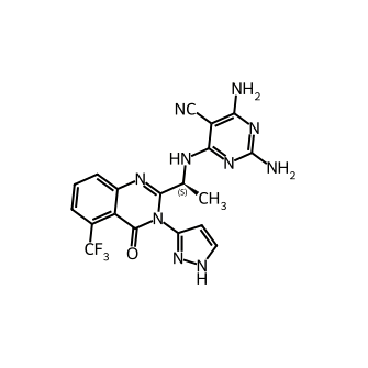 C[C@H](Nc1nc(N)nc(N)c1C#N)c1nc2cccc(C(F)(F)F)c2c(=O)n1-c1cc[nH]n1